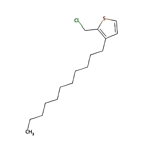 CCCCCCCCCCCc1ccsc1CCl